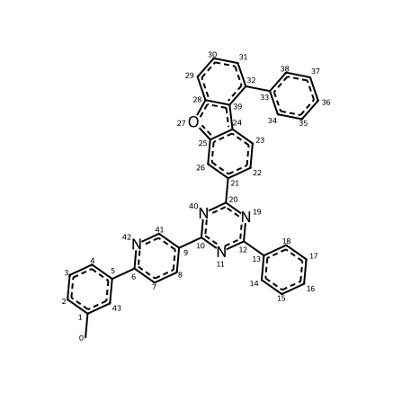 Cc1cccc(-c2ccc(-c3nc(-c4ccccc4)nc(-c4ccc5c(c4)oc4cccc(-c6ccccc6)c45)n3)cn2)c1